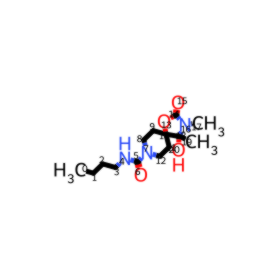 CCCCNC(=O)N1CCC2(CC1)OC(=O)N(C)C2(C)O